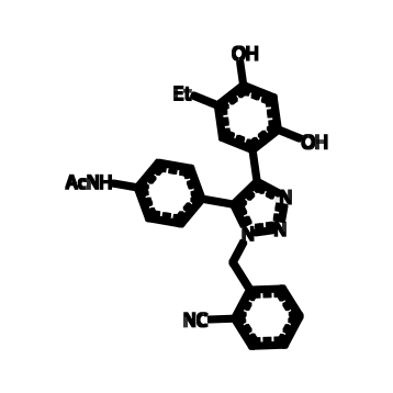 CCc1cc(-c2nnn(Cc3ccccc3C#N)c2-c2ccc(NC(C)=O)cc2)c(O)cc1O